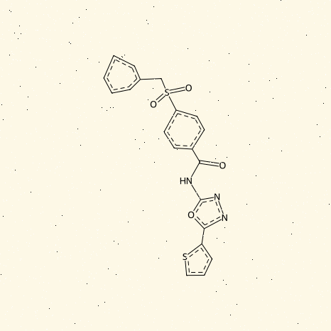 O=C(Nc1nnc(-c2cccs2)o1)c1ccc(S(=O)(=O)Cc2ccccc2)cc1